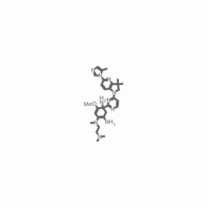 COC1=CC(N(C)CCN(C)C)=C(N)CC1(N)c1nccc(N2CC(C)(C)c3nc(-n4cncc4C)ccc32)n1